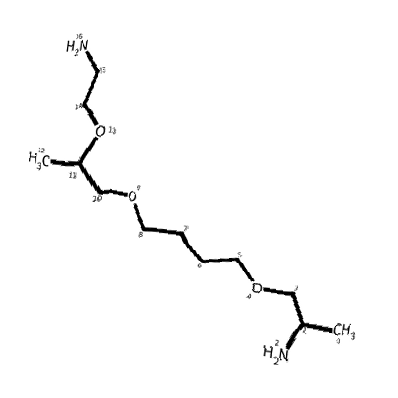 CC(N)COCCCCOCC(C)OCCN